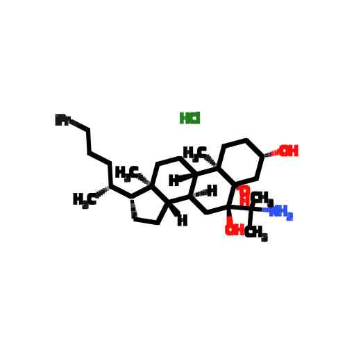 CC(C)CCC[C@@H](C)[C@H]1CC[C@H]2[C@@H]3C[C@@](O)(C(C)(C)N)[C@@]4(O)C[C@@H](O)CC[C@]4(C)[C@H]3CC[C@]12C.Cl